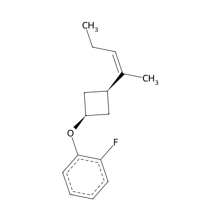 CC/C=C(/C)[C@H]1C[C@@H](Oc2ccccc2F)C1